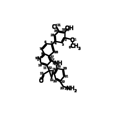 COc1cc(-c2ccc3ncc(C4(C=O)CC4)c(Nc4ccc(CN)cc4)c3c2)cc(Cl)c1O